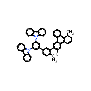 Cc1ccc(-c2cc(-n3c4ccccc4c4ccccc43)cc(-n3c4ccccc4c4ccccc43)c2)cc1-c1cc2c(cc1C)c1c(c3ccccc32)C(C)CC=C1